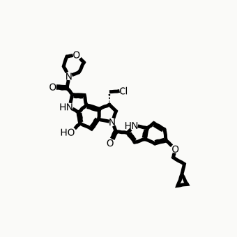 O=C(c1cc2c3c(cc(O)c2[nH]1)N(C(=O)c1cc2cc(OCCC4CC4)ccc2[nH]1)C[C@H]3CCl)N1CCOCC1